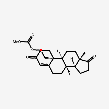 COC(=O)SSC[C@]12CCC(=O)C=C1CC[C@@H]1[C@@H]2CC[C@]2(C)C(=O)CC[C@@H]12